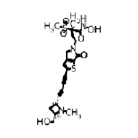 CN1[C@@H](CO)C[C@@H]1C#CC#Cc1cc2c(s1)C(=O)N(CCC(C)(C(=O)NO)S(C)(=O)=O)C2